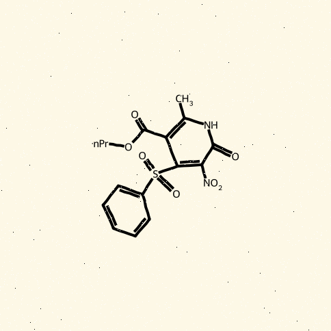 CC[CH]OC(=O)c1c(C)[nH]c(=O)c([N+](=O)[O-])c1S(=O)(=O)c1ccccc1